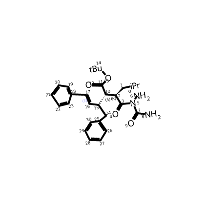 CC(C)C[C@@H](C(=O)N(N)C(N)=O)[C@@H](C(=O)OC(C)(C)C)C(/C=C/c1ccccc1)Cc1ccccc1